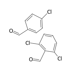 O=Cc1c(Cl)cccc1Cl.O=Cc1ccc(Cl)cc1